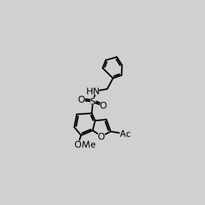 COc1ccc(S(=O)(=O)NCc2ccccc2)c2cc(C(C)=O)oc12